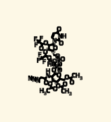 CC(=O)OCC1O[C@H](OP(=O)(O)OP(=O)(O)OC[C@H]2O[C@@H](n3ccc(=O)[nH]c3=O)C(OC(=O)C(F)(F)F)[C@H]2OC(=O)C(F)(F)F)C(NC(=O)CN=[N+]=[N-])[C@H](OC(C)=O)[C@H]1OC(C)=O